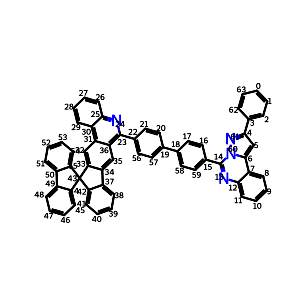 c1ccc(-c2cc3c4ccccc4nc(-c4ccc(-c5ccc(-c6nc7ccccc7c7cc8c(cc67)-c6ccccc6C86c7ccccc7-c7ccccc76)cc5)cc4)n3n2)cc1